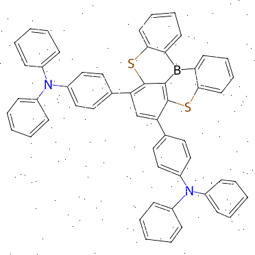 c1ccc(N(c2ccccc2)c2ccc(-c3cc(-c4ccc(N(c5ccccc5)c5ccccc5)cc4)c4c5c3Sc3ccccc3B5c3ccccc3S4)cc2)cc1